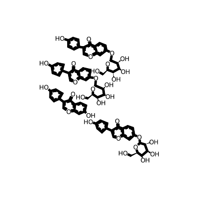 O=c1c(-c2ccc(O)cc2)coc2cc(O)ccc12.O=c1c(-c2ccc(O)cc2)coc2cc(OC3O[C@H](CO)[C@@H](O)[C@H](O)[C@H]3O)ccc12.O=c1c(-c2ccc(O)cc2)coc2cc(OC3O[C@H](CO)[C@@H](O)[C@H](O)[C@H]3O)ccc12.O=c1c(-c2ccc(O)cc2)coc2cc(OC3O[C@H](CO)[C@@H](O)[C@H](O)[C@H]3O)ccc12